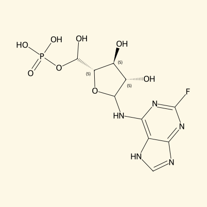 O=P(O)(O)OC(O)[C@H]1OC(Nc2nc(F)nc3nc[nH]c23)[C@@H](O)[C@@H]1O